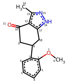 COc1ccccc1C1CC(=O)c2c(C)n[nH]c2C1